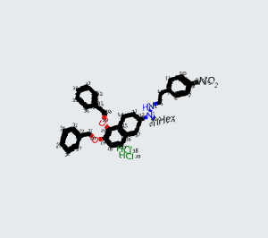 CCCCCCN(NCCc1ccc([N+](=O)[O-])cc1)C1CCc2c(ccc(OCc3ccccc3)c2OCc2ccccc2)C1.Cl.Cl